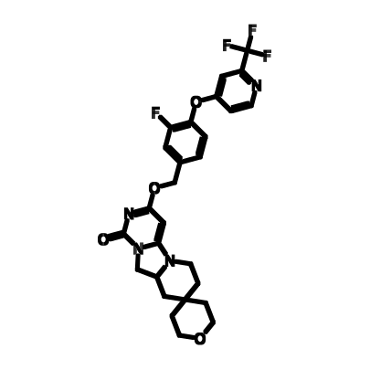 O=c1nc(OCc2ccc(Oc3ccnc(C(F)(F)F)c3)c(F)c2)cc2n1CC1CC3(CCOCC3)CCN21